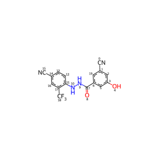 N#Cc1cc(O)cc(C(=O)NNc2ccc(C#N)cc2C(F)(F)F)c1